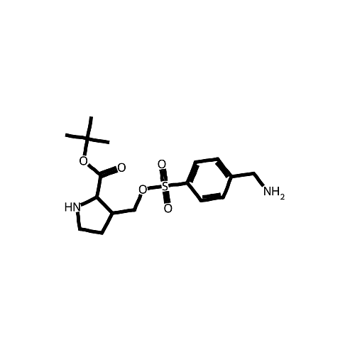 CC(C)(C)OC(=O)C1NCCC1COS(=O)(=O)c1ccc(CN)cc1